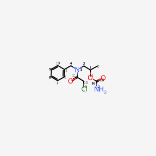 CC(CN(Cc1ccccc1)C(=O)CCl)OC(N)=O